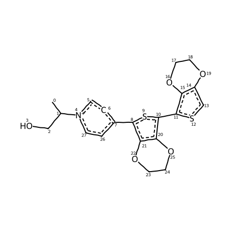 CC(CO)[n+]1ccc(-c2sc(-c3scc4c3OCCO4)c3c2OCCO3)cc1